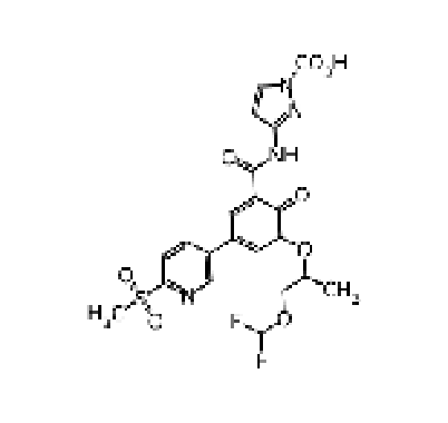 C[C@@H](COC(F)F)OC1C=C(c2ccc(S(C)(=O)=O)nc2)C=C(C(=O)Nc2ccn(C(=O)O)n2)C1=O